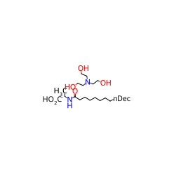 CCCCCCCCCCCCCCCCCC(=O)N[C@@H](C)C(=O)O.OCCN(CCO)CCO